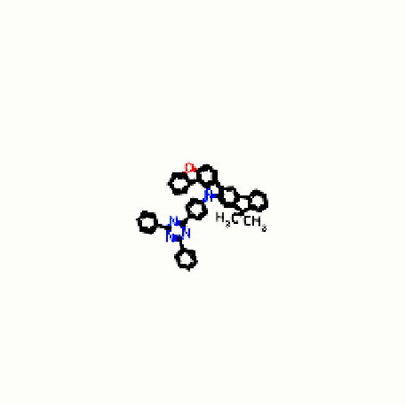 CC1(C)c2ccccc2-c2cc3c4ccc5oc6ccccc6c5c4n(-c4ccc(-c5nc(-c6ccccc6)nc(-c6ccccc6)n5)cc4)c3cc21